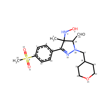 CC1(NO)C(c2ccc(S(C)(=O)=O)cc2)=NN(CC2CCOCC2)C1C=O